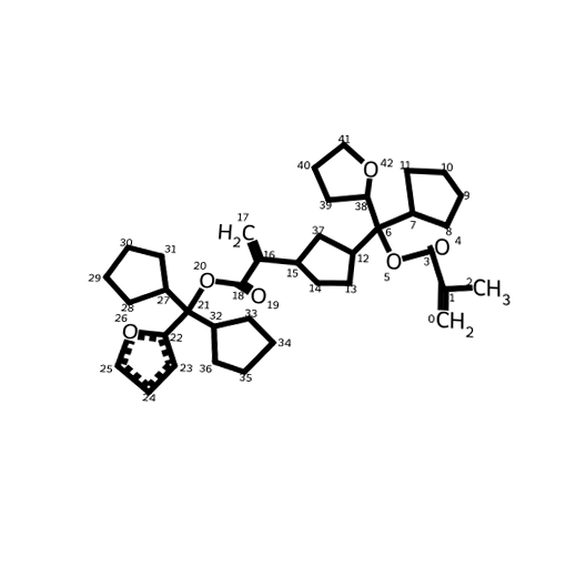 C=C(C)C(=O)OC(C1CCCC1)(C1CCC(C(=C)C(=O)OC(c2ccco2)(C2CCCC2)C2CCCC2)C1)C1CCCO1